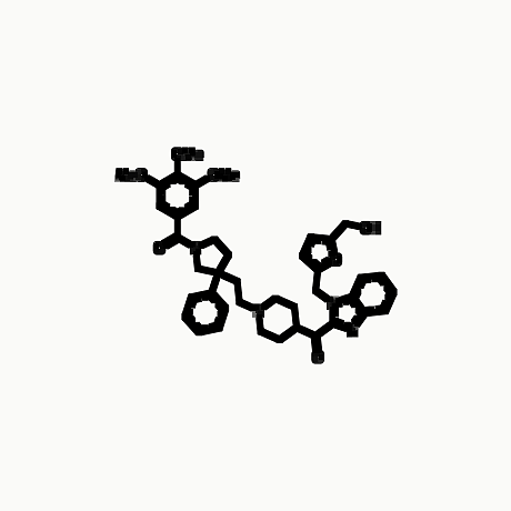 COc1cc(C(=O)N2CCC(CCN3CCC(C(=O)c4nc5ccccc5n4Cc4ccc(CO)o4)CC3)(c3ccccc3)C2)cc(OC)c1OC